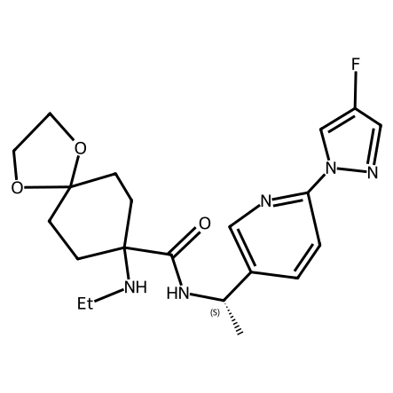 CCNC1(C(=O)N[C@@H](C)c2ccc(-n3cc(F)cn3)nc2)CCC2(CC1)OCCO2